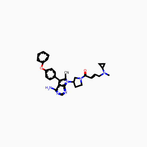 CN(CC=CC(=O)N1CCC(n2c(C#N)c(-c3ccc(Oc4ccccc4)cc3)c3c(N)ncnc32)C1)C1CC1